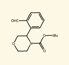 CC(C)(C)OC(=O)N1CCOCC1c1ccccc1C=O